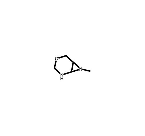 CN1C2COCNC21